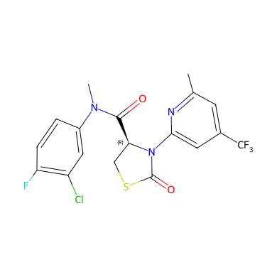 Cc1cc(C(F)(F)F)cc(N2C(=O)SC[C@H]2C(=O)N(C)c2ccc(F)c(Cl)c2)n1